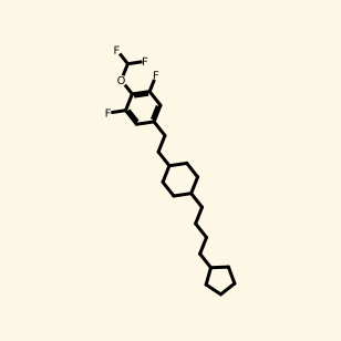 Fc1cc(CCC2CCC(CCCCC3CCCC3)CC2)cc(F)c1OC(F)F